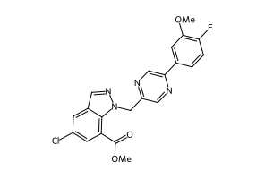 COC(=O)c1cc(Cl)cc2cnn(Cc3cnc(-c4ccc(F)c(OC)c4)cn3)c12